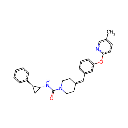 Cc1ccc(Oc2cccc(C=C3CCN(C(=O)N[C@@H]4C[C@H]4c4ccccc4)CC3)c2)nc1